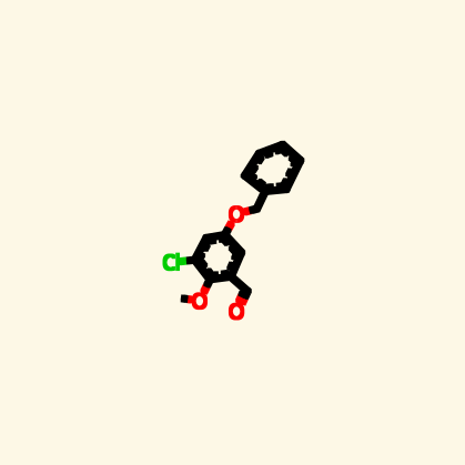 COc1c(Cl)cc(OCc2ccccc2)cc1C=O